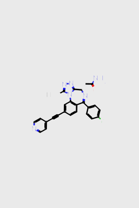 Cc1nnc2n1-c1cc(C#Cc3ccncc3)ccc1C(c1ccc(Cl)cc1)=N[C@H]2CC(N)=O